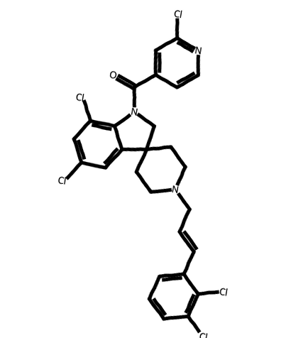 O=C(c1ccnc(Cl)c1)N1CC2(CCN(C/C=C/c3cccc(Cl)c3Cl)CC2)c2cc(Cl)cc(Cl)c21